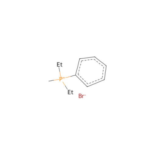 CC[P+](C)(CC)c1ccccc1.[Br-]